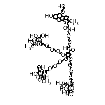 CC(=O)NC1C(OCCOCCOCCOCCOc2cc(C(=O)NCCOCCOCCNC(=O)CC[C@@H](C)C3CCC4C5C(OCCO)CC6CC(O)CCC6(C)C5CCC43C)cc(OCCOCCOCCOCCOC3OC(CO)C(O)C(O)C3NC(C)=O)c2OCCOCCOCCOCCOC2OC(CO)C(O)C(O)C2NC(C)=O)OC(CO)C(O)C1O